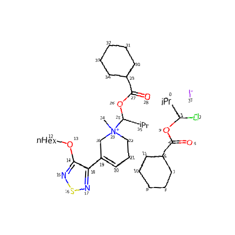 CC(C)C(Cl)OC(=O)C1CCCCC1.CCCCCCOc1nsnc1C1=CCC[N+](C)(C(OC(=O)C2CCCCC2)C(C)C)C1.[I-]